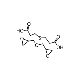 C(OCC1CO1)C1CO1.O=C(O)CCSCCC(=O)O